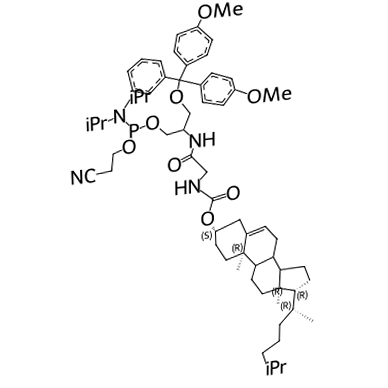 COc1ccc(C(OCC(COP(OCCC#N)N(C(C)C)C(C)C)NC(=O)CNC(=O)O[C@H]2CC[C@@]3(C)C(=CCC4C3CC[C@@]3(C)C4CC[C@@H]3[C@H](C)CCCC(C)C)C2)(c2ccccc2)c2ccc(OC)cc2)cc1